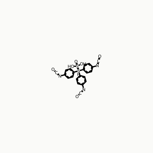 O=C=Nc1ccc([SH](c2ccc(N=C=O)cc2)(c2ccc(N=C=O)cc2)=S(=O)(O)O)cc1